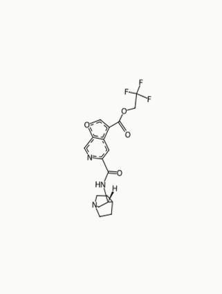 O=C(N[C@H]1CN2CCC1CC2)c1cc2c(C(=O)OCC(F)(F)F)coc2cn1